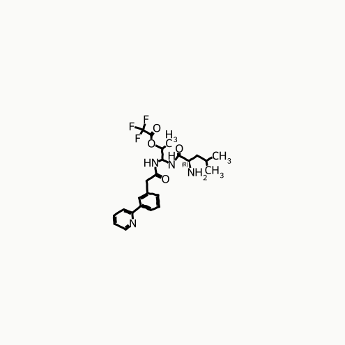 CC(C)C[C@@H](N)C(=O)NC(NC(=O)Cc1cccc(-c2ccccn2)c1)C(C)OC(=O)C(F)(F)F